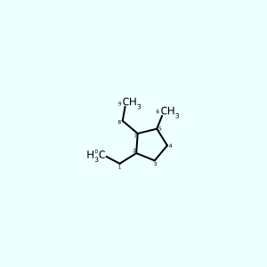 CCC1CCC(C)C1CC